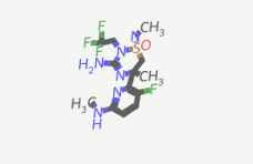 CN=S1(=O)CC(C)(c2nc(NC)ccc2F)N=C(N)N1CC(F)(F)F